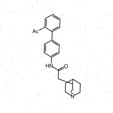 CC(=O)c1ccccc1-c1ccc(NC(=O)CC2CN3CCC2CC3)cc1